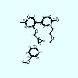 COCCn1cc(-c2cnc(C)nc2OC[C@H]2C[C@@H]2c2ccc(OC)cn2)ccc1=O